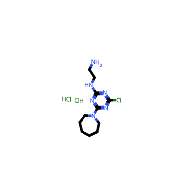 Cl.Cl.NCCNc1nc(Cl)nc(N2CCCCCC2)n1